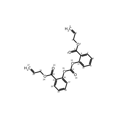 C=CCOC(=O)c1ccccc1OC(=O)Oc1ccccc1C(=O)OCC=C